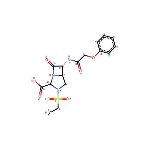 CCS(=O)(=O)N1CC2[C@@H](NC(=O)COc3ccccc3)C(=O)N2C1C(=O)O